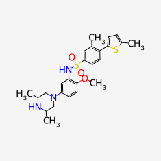 COc1ccc(N2CC(C)NC(C)C2)cc1NS(=O)(=O)c1ccc(-c2ccc(C)s2)c(C)c1